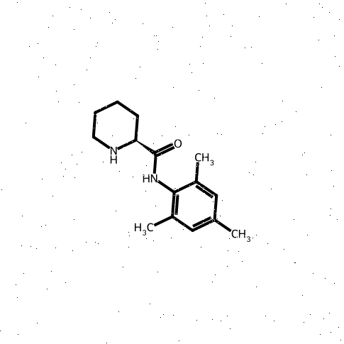 Cc1cc(C)c(NC(=O)[C@@H]2CCCCN2)c(C)c1